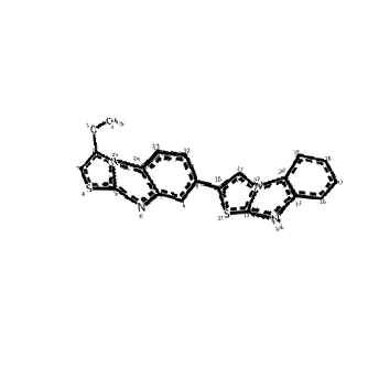 COc1csc2nc3cc(-c4cn5c(nc6ccccc65)s4)ccc3n12